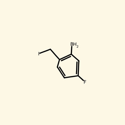 Bc1cc(F)ccc1CI